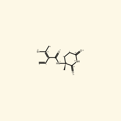 C=C/C(C(=O)N[C@]1(C)CCC(=O)NC1=O)=C(/C)CC